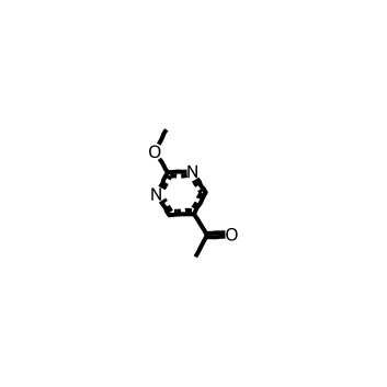 COc1ncc(C(C)=O)cn1